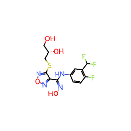 OC[C@H](O)CSc1nonc1/C(=N\O)Nc1ccc(F)c(C(F)F)c1